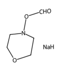 O=CON1CCOCC1.[NaH]